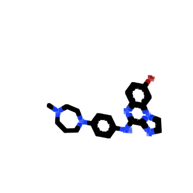 CN1CCCN(c2ccc(Nc3nc4ccc(Br)cc4n4ccnc34)cc2)CC1